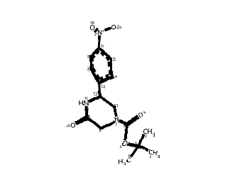 CC(C)(C)OC(=O)N1CC(=O)NC(c2ccc([N+](=O)[O-])cc2)C1